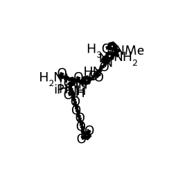 CN/C(=C(\N)c1ccc2ncc(OCCNC(=O)OCc3ccc(NC(=O)C(CCCNC(N)=O)NC(=O)[C@@H](NC(=O)CCOCCOCCOCCOCCN4C(=O)C=CC4=O)C(C)C)cc3)nc2c1)c1cccc(C)n1